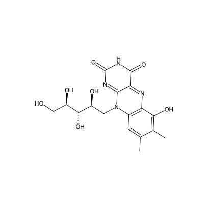 Cc1cc2c(nc3c(=O)[nH]c(=O)nc-3n2C[C@H](O)[C@H](O)[C@H](O)CO)c(O)c1C